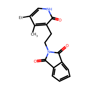 CCc1c[nH]c(=O)c(CCN2C(=O)c3ccccc3C2=O)c1C